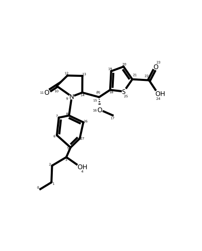 CCCC(O)c1ccc(N2C(=O)CCC2[C@@H](OC)c2ccc(C(=O)O)s2)cc1